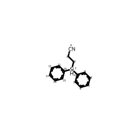 N#CCC[SiH](c1ccccc1)c1ccccc1